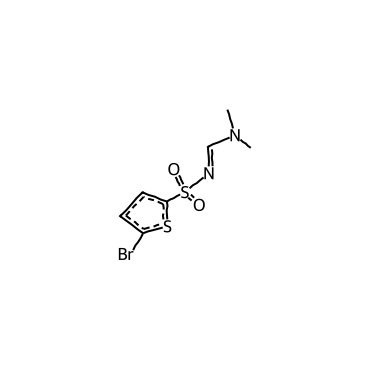 CN(C)C=NS(=O)(=O)c1ccc(Br)s1